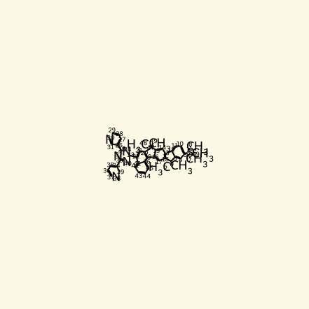 CC1(C)c2cc(S(C)(C)C)ccc2-c2cc3c(cc21)-c1c(cc(-c2nc(-c4cccnc4)nc(-c4cccnc4)n2)c2ccccc12)C3(C)C